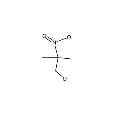 CC(C)(C[O])[N+](=O)[O-]